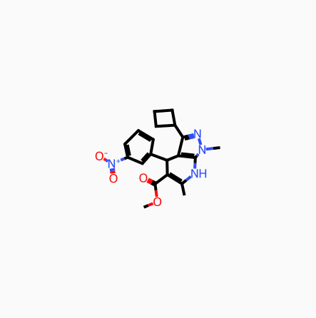 COC(=O)C1=C(C)Nc2c(c(C3CCC3)nn2C)C1c1cccc([N+](=O)[O-])c1